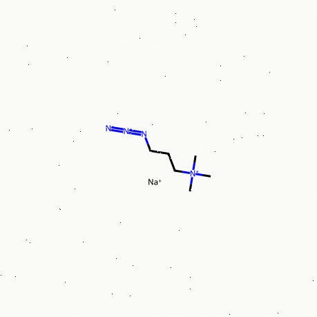 C[N+](C)(C)CCCN=[N+]=[N-].[Na+]